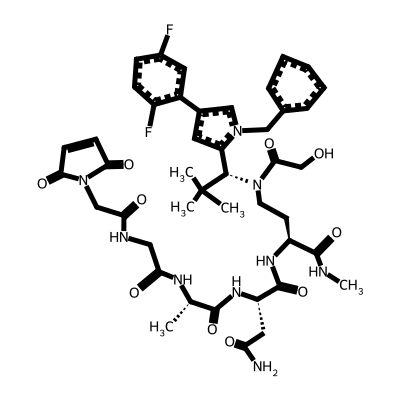 CNC(=O)[C@H](CCN(C(=O)CO)[C@@H](c1cc(-c2cc(F)ccc2F)cn1Cc1ccccc1)C(C)(C)C)NC(=O)[C@H](CC(N)=O)NC(=O)[C@H](C)NC(=O)CNC(=O)CN1C(=O)C=CC1=O